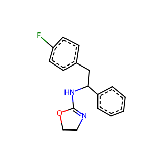 Fc1ccc(CC(NC2=NCCO2)c2ccccc2)cc1